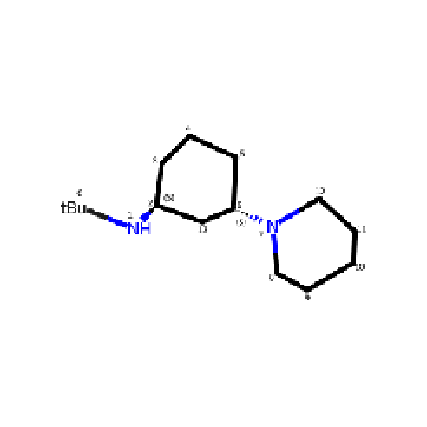 CC(C)(C)N[C@H]1CCC[C@H](N2CCCCC2)C1